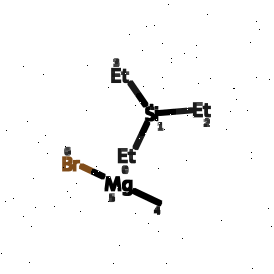 CC[Si](CC)CC.[CH3][Mg][Br]